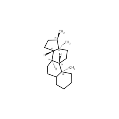 C[C@@H]1CC[C@H]2[C@@H]3CCC4CCCC[C@]4(C)[C@H]3CC[C@]12C